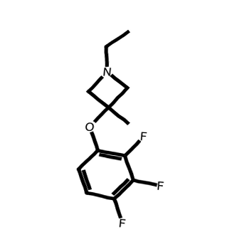 CCN1CC(C)(Oc2ccc(F)c(F)c2F)C1